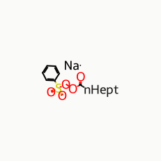 CCCCCCCC(=O)OOS(=O)(=O)c1ccccc1.[Na]